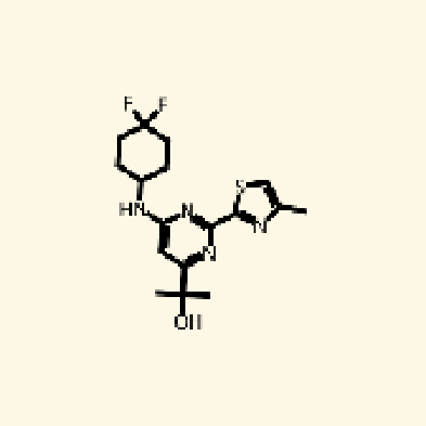 Cc1csc(-c2nc(NC3CCC(F)(F)CC3)cc(C(C)(C)O)n2)n1